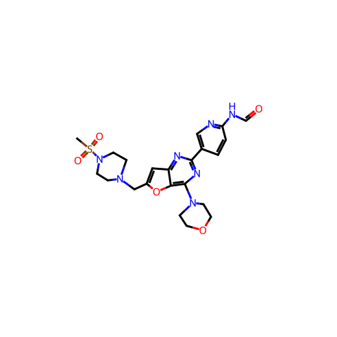 CS(=O)(=O)N1CCN(Cc2cc3nc(-c4ccc(NC=O)nc4)nc(N4CCOCC4)c3o2)CC1